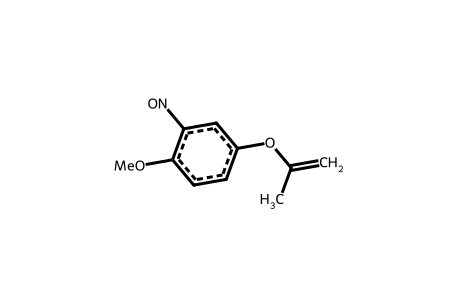 C=C(C)Oc1ccc(OC)c(N=O)c1